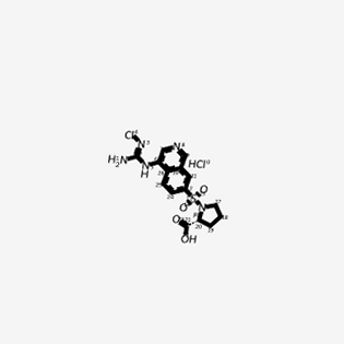 Cl.NC(=NCl)Nc1cncc2cc(S(=O)(=O)N3CCC[C@@H]3C(=O)O)ccc12